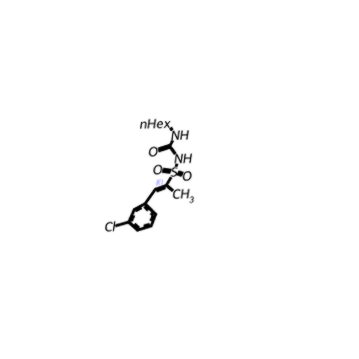 CCCCCCNC(=O)NS(=O)(=O)/C(C)=C/c1cccc(Cl)c1